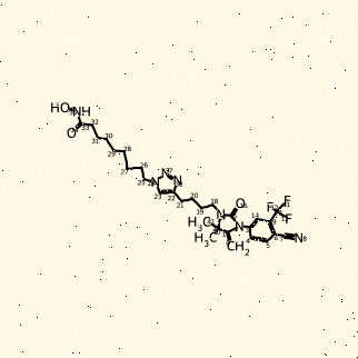 C=C1N(c2ccc(C#N)c(C(F)(F)F)c2)C(=O)N(CCCCc2cn(CCCCCCCCC(=O)NO)nn2)C1(C)C